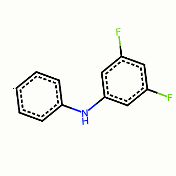 Fc1cc(F)cc(Nc2cc[c]cc2)c1